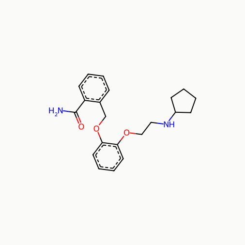 NC(=O)c1ccccc1COc1ccccc1OCCNC1CCCC1